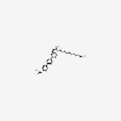 C=CCCCCCCCCCOC(C)CC1(C#N)CCCC(c2ccc(-c3ccc(OC(CCC)CCCC)cc3)cc2)C1